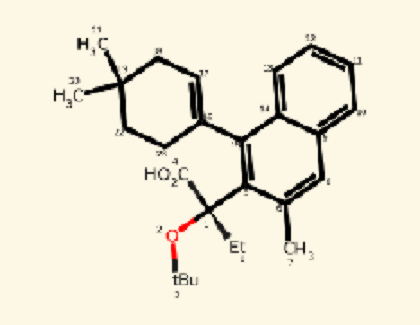 CC[C@@](OC(C)(C)C)(C(=O)O)c1c(C)cc2ccccc2c1C1=CCC(C)(C)CC1